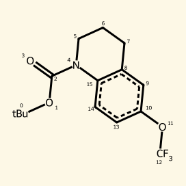 CC(C)(C)OC(=O)N1CCCc2cc(OC(F)(F)F)ccc21